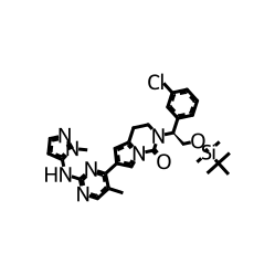 Cc1cnc(Nc2ccnn2C)nc1-c1cc2n(c1)C(=O)N([C@H](CO[Si](C)(C)C(C)(C)C)c1cccc(Cl)c1)CC2